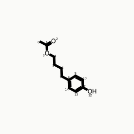 CC(=O)OCCCCc1ccc(O)cc1